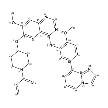 C=CC(=O)N1CCC(Oc2cc3c(Nc4cc(-c5cccn6ccnc56)ccc4OC)ncnc3cc2OC)CC1